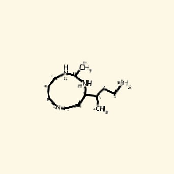 BCCC(C)C1CCNCCCNC(C)N1